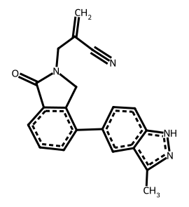 C=C(C#N)CN1Cc2c(cccc2-c2ccc3[nH]nc(C)c3c2)C1=O